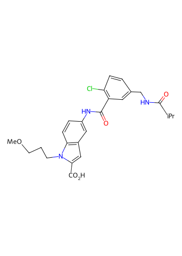 COCCCn1c(C(=O)O)cc2cc(NC(=O)c3cc(CNC(=O)C(C)C)ccc3Cl)ccc21